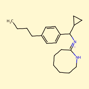 CCCCc1ccc(C(/N=C2\CCCCCCN2)C2CC2)cc1